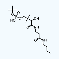 CCCCNC(=O)CCNC(=O)C(O)C(C)(C)COP(=O)(O)OC(C)(C)C